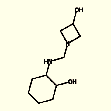 OC1CN(CNC2CCCCC2O)C1